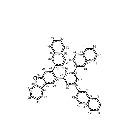 c1ccc2cc(-c3nc(-c4ccc5ccccc5c4)nc(-c4cc5c(cc4-c4ccc6ccccc6c4)oc4ccccc45)n3)ccc2c1